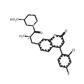 C[C@H](Cc1ccc2c(-c3ccc(F)cc3Cl)cc(=O)oc2c1)C(=O)N1CCCC(C(=O)O)C1